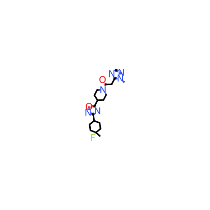 Cn1ncnc1CC(=O)N1CCC(c2nc(C3CCC(C)(F)CC3)no2)CC1